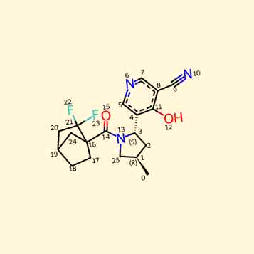 C[C@@H]1C[C@@H](c2cncc(C#N)c2O)N(C(=O)C23CCC(CC2(F)F)C3)C1